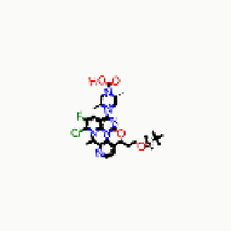 CC(C)c1nccc(CCCO[Si](C)(C)C(C)(C)C)c1-n1c(=O)nc(N2C[C@@H](C)N(C(=O)O)C[C@@H]2C)c2cc(F)c(Cl)nc21